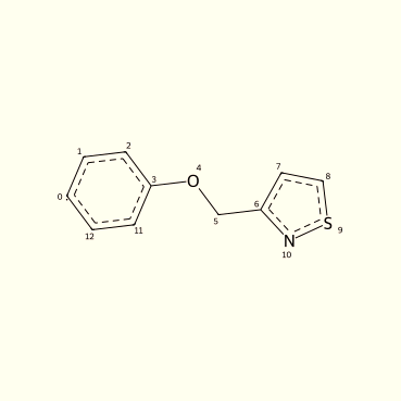 [c]1ccc(OCc2ccsn2)cc1